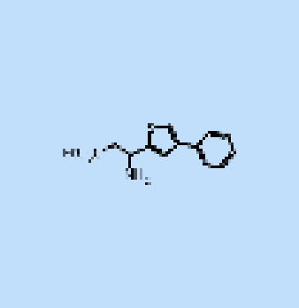 CCOC(=O)CC(N)c1cc(-c2ccccc2)cs1